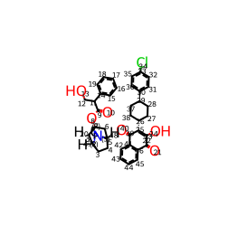 CN1[C@@H]2CC[C@H]1C[C@@H](OC(=O)C(CO)c1ccccc1)C2.O=C1C(O)=C([C@H]2CC[C@H](c3ccc(Cl)cc3)CC2)C(=O)c2ccccc21